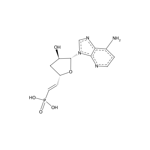 Nc1ccnc2c1ncn2[C@@H]1O[C@H](/C=C/P(=O)(O)O)C[C@H]1O